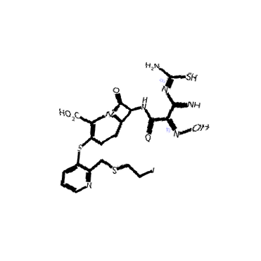 N=C(/N=C(/N)S)/C(=N\O)C(=O)NC1C(=O)N2C(C(=O)O)=C(Sc3cccnc3CSCCI)CCC12